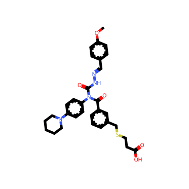 COc1ccc(C=NNC(=O)N(C(=O)c2cccc(CSCCC(=O)O)c2)c2ccc(N3CCCCC3)cc2)cc1